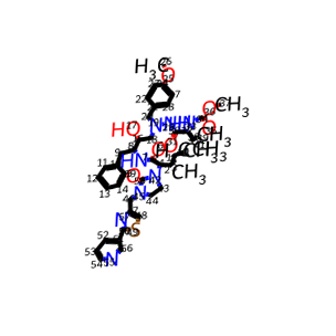 CCC(C)C(C(=O)NC(Cc1ccccc1)C(O)CN(Cc1ccc(OC)cc1)NC(=O)C(NC(=O)OC)C(C)(C)C)N1CCN(Cc2csc(-c3cccnc3)n2)C1=O